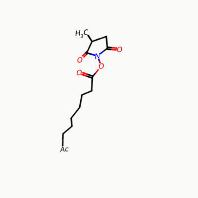 CC(=O)CCCCCCC(=O)ON1C(=O)CC(C)C1=O